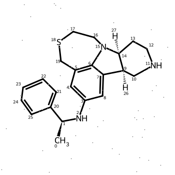 C[C@H](Nc1cc2c3c(c1)[C@@H]1CNCC[C@@H]1N3CCSC2)c1ccccc1